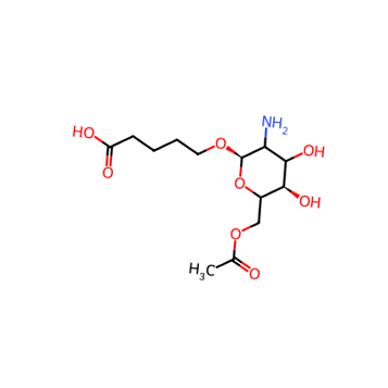 CC(=O)OCC1O[C@@H](OCCCCC(=O)O)C(N)C(O)[C@H]1O